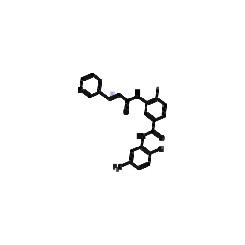 Cc1ccc(C(=O)Nc2cc(C(F)(F)F)ccc2Cl)cc1NC(=O)/C=C/c1cccnc1